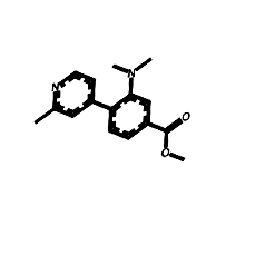 COC(=O)c1ccc(-c2ccnc(C)c2)c(N(C)C)c1